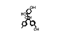 Cc1ccc(-c2oc(C3(O)CCC(O)CC3)nc2-c2ccc(CO)cc2)cc1